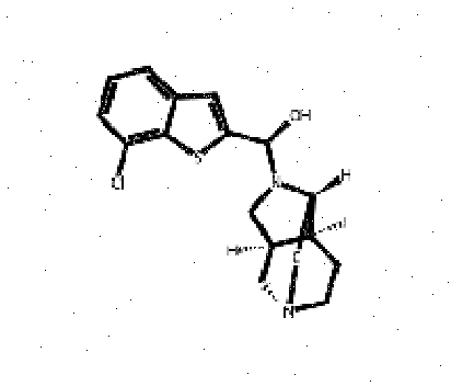 OC(c1cc2cccc(Cl)c2s1)N1C[C@@H]2C[N@@]3CC[C@@H]2[C@@H]1C3